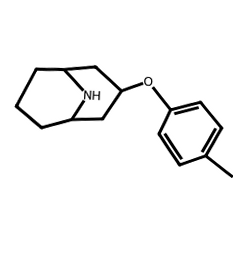 Cc1ccc(OC2CC3CCCC(C2)N3)cc1